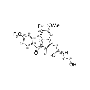 COc1cc2c(CC(=O)NCCO)c(C)n(C(=O)c3ccc(C(F)(F)F)cc3)c2cc1F